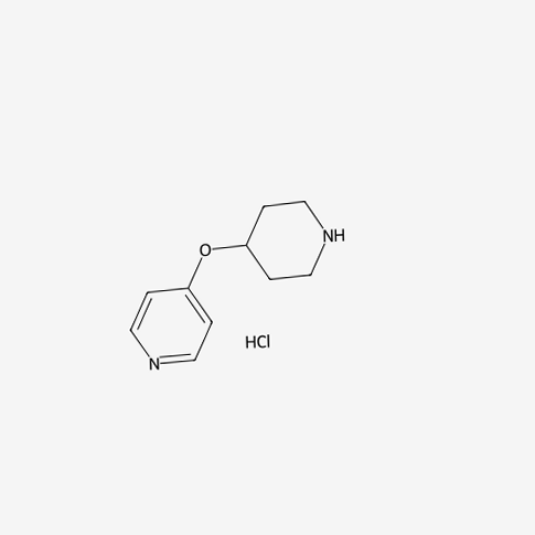 Cl.c1cc(OC2CCNCC2)ccn1